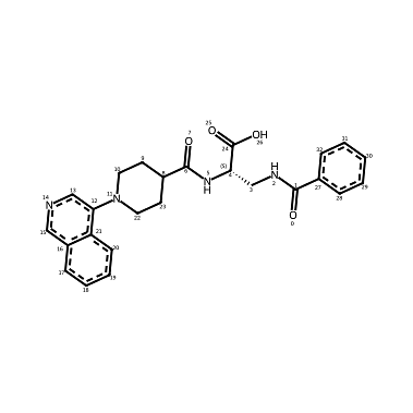 O=C(NC[C@H](NC(=O)C1CCN(c2cncc3ccccc23)CC1)C(=O)O)c1ccccc1